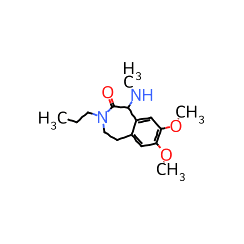 CCCN1CCc2cc(OC)c(OC)cc2C(NC)C1=O